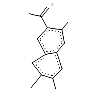 Cc1cc2cc(F)c(Cl)cc2cc1C(=N)N